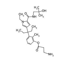 CCn1cc(C(CC)(CC)c2cccc(OC(=O)CCN)c2C)cc1C(=O)NCC(C)(C)O